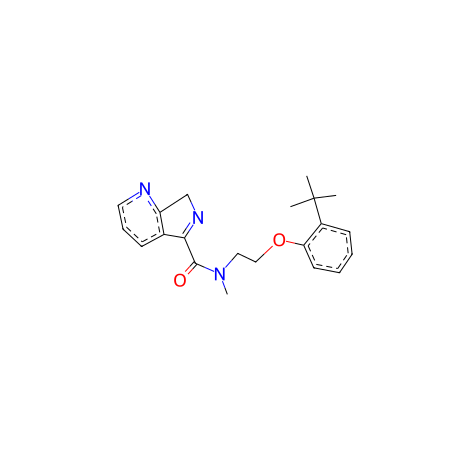 CN(CCOc1ccccc1C(C)(C)C)C(=O)C1=NCc2ncccc21